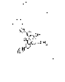 CCCCOc1ccc(N2CCOCC2)cc1C(=O)Nc1cc(C2C=CSC2)ccc1C(=O)O